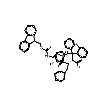 C[C@@H](CN(C)C(=O)C(Cc1ccccc1)[C@@H](C(=O)O)C(c1ccccc1)(c1ccccc1)c1ccccc1Cl)NC(=O)OCC1c2ccccc2-c2ccccc21